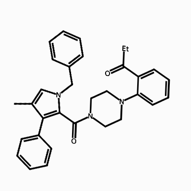 CCC(=O)c1ccccc1N1CCN(C(=O)c2c(-c3ccccc3)c(C)cn2Cc2ccccc2)CC1